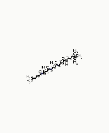 CC(C)=CCC/C(C)=C/CC/C(C)=C/CC/C(C)=C/COC(=O)NCCCC(C)(C)P